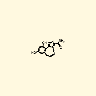 NC(=O)c1nnc2n1CC=CCc1cc(O)cc(O)c1-2